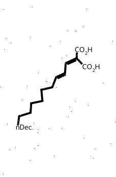 CCCCCCCCCCCCCCCCC=CC=C(C(=O)O)C(=O)O